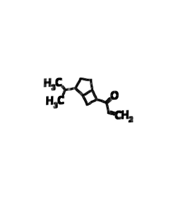 C=CC(=O)C1CC2C(C(C)C)CCC12